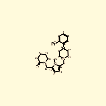 CC(C)c1ccccc1N1CCN(Cc2ccc(CN3CCCCC3=O)n2C)CC1